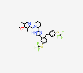 COc1c(C)cnc(CN2CCCCC2c2nc(-c3cc(SC(F)(F)F)ccc3Cc3ccc(SC(F)(F)F)cc3)c[nH]2)c1C